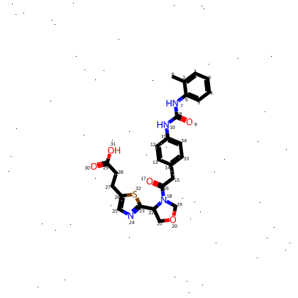 Cc1ccccc1NC(=O)Nc1ccc(CC(=O)N2COCC2c2ncc(CCC(=O)O)s2)cc1